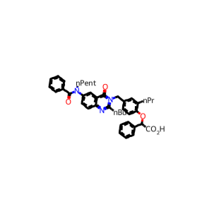 CCCCCN(C(=O)c1ccccc1)c1ccc2nc(CCCC)n(Cc3ccc(OC(C(=O)O)c4ccccc4)c(CCC)c3)c(=O)c2c1